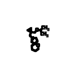 CC(C)OCC1(CN2CCC3(CCCCO3)C2)CC1